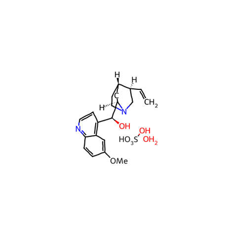 C=C[C@H]1CN2CC[C@H]1C[C@@H]2[C@@H](O)c1ccnc2ccc(OC)cc12.O.O=S(=O)(O)O